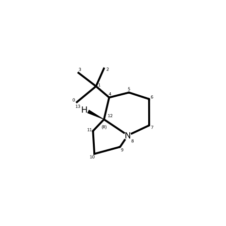 CC(C)(C)C1CCCN2CCC[C@H]12